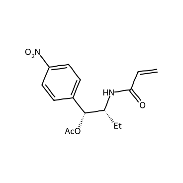 C=CC(=O)N[C@H](CC)[C@H](OC(C)=O)c1ccc([N+](=O)[O-])cc1